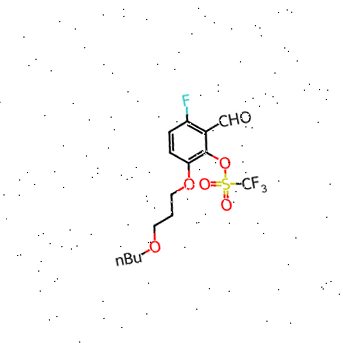 CCCCOCCCOc1ccc(F)c(C=O)c1OS(=O)(=O)C(F)(F)F